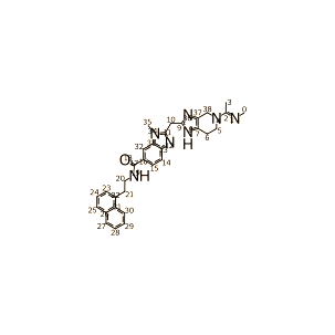 C/N=C(\C)N1CCc2[nH]c(Cc3nc4ccc(C(=O)NCCc5cccc6ccccc56)cc4n3C)nc2C1